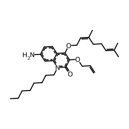 C=CCOc1c(OCC=C(C)CCC=C(C)C)c2ccc(N)cc2n(CCCCCCCC)c1=O